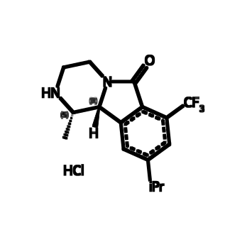 CC(C)c1cc2c(c(C(F)(F)F)c1)C(=O)N1CCN[C@@H](C)[C@@H]21.Cl